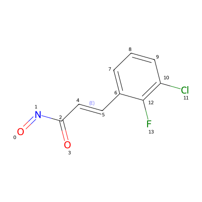 O=NC(=O)/C=C/c1cccc(Cl)c1F